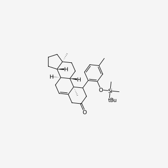 Cc1ccc(C2CC(=O)CC3=CC[C@H]4[C@@H]5CCC[C@@]5(C)CC[C@@H]4[C@]32C)c(O[Si](C)(C)C(C)(C)C)c1